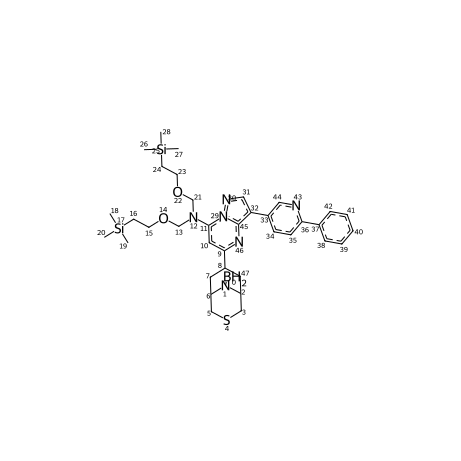 BN1C2CSCC1CC(c1cc(N(COCC[Si](C)(C)C)COCC[Si](C)(C)C)n3ncc(-c4ccc(-c5ccccc5)nc4)c3n1)C2